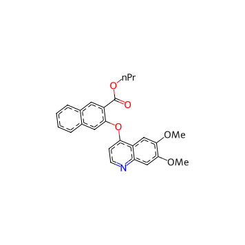 CCCOC(=O)c1cc2ccccc2cc1Oc1ccnc2cc(OC)c(OC)cc12